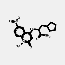 Cn1c(=O)cc(NC(CC2CCCC2)C(N)=O)c2cc([N+](=O)[O-])ccc21